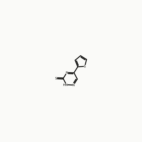 S=c1nc(-c2cccs2)cn[nH]1